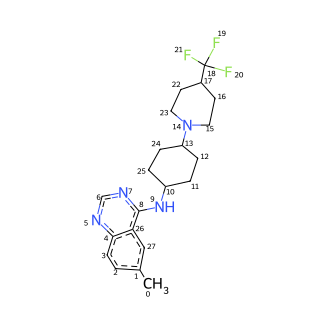 Cc1ccc2ncnc(NC3CCC(N4CCC(C(F)(F)F)CC4)CC3)c2c1